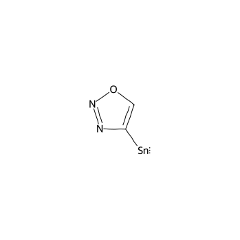 [Sn][c]1conn1